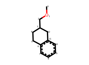 COCC1CCc2ccccc2C1